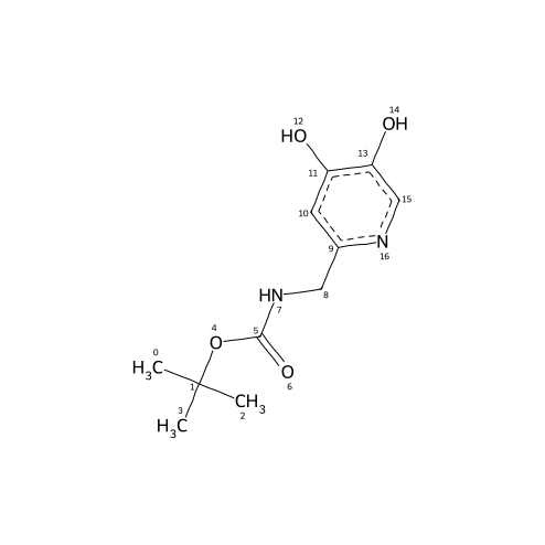 CC(C)(C)OC(=O)NCc1cc(O)c(O)cn1